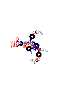 COc1ccc(CN(Cc2ccc(OC)cc2)S(=O)(=O)c2c(S(=O)(=O)N[C@@H]3C[C@@H](CO)N(C(=O)O)C3)ccc(I)c2-c2nnn(Cc3ccc(OC)cc3)n2)cc1